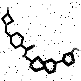 Cn1cc(-c2cc3cc(NC(=O)C4CCC(CN5CC(F)C5)CC4)ncc3cn2)cn1